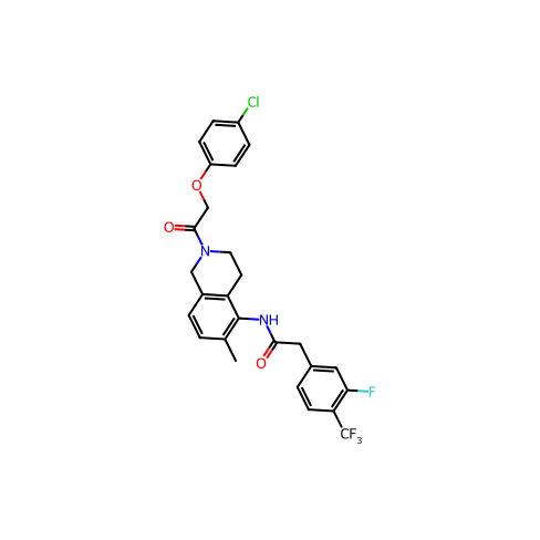 Cc1ccc2c(c1NC(=O)Cc1ccc(C(F)(F)F)c(F)c1)CCN(C(=O)COc1ccc(Cl)cc1)C2